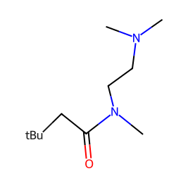 CN(C)CCN(C)C(=O)CC(C)(C)C